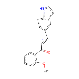 CCCOc1ccccc1C(=O)/C=C/c1ccc2[nH]ccc2c1